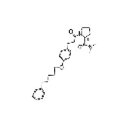 CN(C)C(=O)[C@@H]1CCCN1C(=O)CCc1ccc(OCCCCCc2ccccc2)cc1